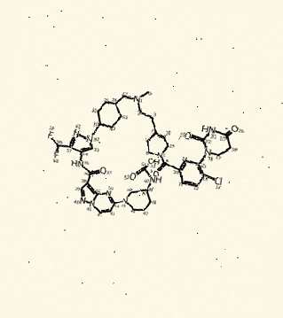 CN(CCC1CCN(C(=O)c2ccc(Cl)c(N3CCC(=O)NC3=O)c2)CC1)CC1CCC(n2cc(NC(=O)c3cnn4ccc(N5CCC[C@H](NC(=O)O)C5)nc34)c(C(F)F)n2)CC1